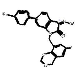 CC(C)c1ccc(-c2ccc3c(c2)N(Cc2cc(F)cc4c2OCOC4)C(=O)/C3=N\O)cc1